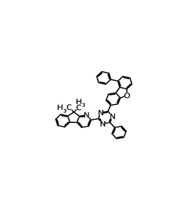 CC1(C)c2ccccc2-c2ccc(-c3nc(-c4ccccc4)nc(-c4ccc5c(c4)oc4cccc(-c6ccccc6)c45)n3)nc21